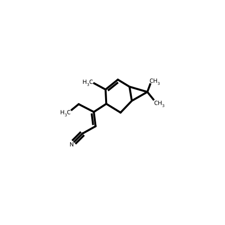 CCC(=CC#N)C1CC2C(C=C1C)C2(C)C